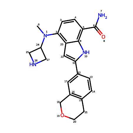 CN(c1ccc(C(N)=O)c2[nH]c(-c3ccc4c(c3)COCC4)cc12)C1CNC1